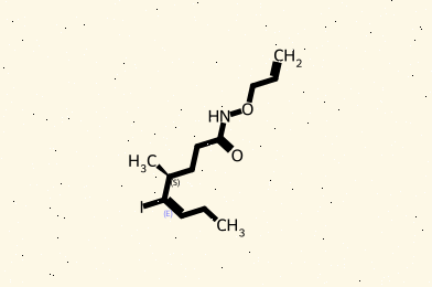 C=CCONC(=O)CC[C@H](C)/C(I)=C\CC